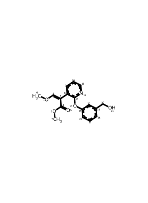 COC=C(C(=O)OC)c1cccnc1Oc1cccc(CO)c1